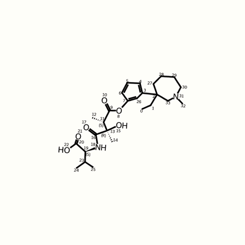 CCC1(c2cccc(OC(=O)[C@@H](C)[C@@](C)(O)C(=O)N[C@H](C(=O)O)C(C)C)c2)CCCCN(C)C1